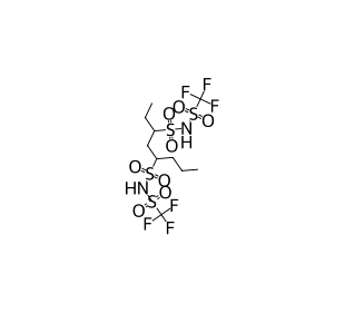 CCCC(CC(CC)S(=O)(=O)NS(=O)(=O)C(F)(F)F)S(=O)(=O)NS(=O)(=O)C(F)(F)F